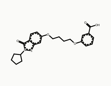 O=C(O)c1cccc(OCCCCOc2ccc3c(=O)n(C4CCCC4)sc3c2)c1